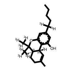 [2H]C([2H])(CCCC)c1cc(O)c2c(c1)OC(C([2H])([2H])[2H])(C([2H])([2H])[2H])[C@@H]1CCC(C)=C[C@@]21[2H]